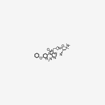 CN(C)C(C)(C)/C=C(/C#N)C(=O)N1CC(Cn2c(=O)n(-c3ccc(Oc4ccccc4)cc3)c3c(N)ncnc32)C1